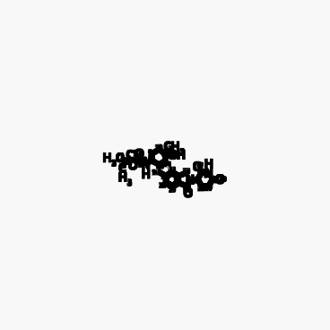 CC(C)(C)OC(=O)N[C@H]1CC[C@@](C)(O)C[C@@H]1Cc1ccc2c(c1)CN(C1CCC(=O)NC1=O)C2=O